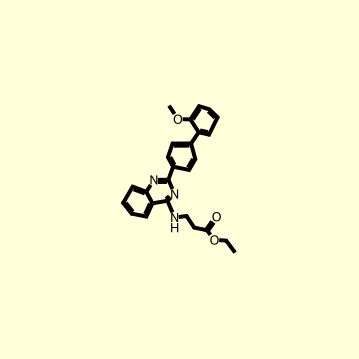 CCOC(=O)CCNc1nc(-c2ccc(-c3ccccc3OC)cc2)nc2ccccc12